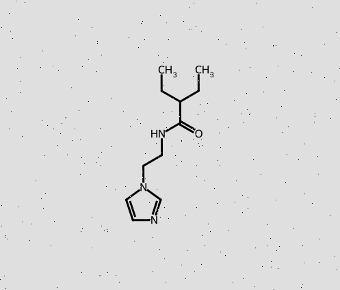 CCC(CC)C(=O)NCCn1ccnc1